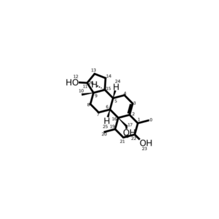 CC1C2=CC[C@@H]3[C@@H](CC[C@]4(C)C(O)CC[C@@H]34)[C@@]2(CO)C(C)CC1O